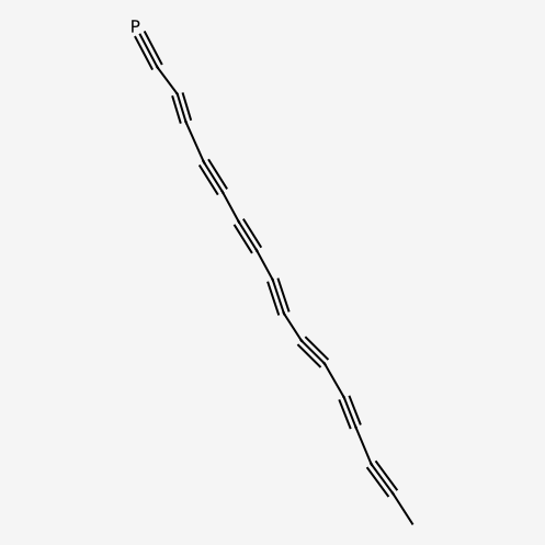 CC#CC#CC#CC#CC#CC#CC#CC#P